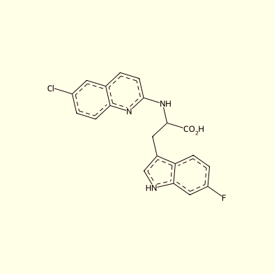 O=C(O)C(Cc1c[nH]c2cc(F)ccc12)Nc1ccc2cc(Cl)ccc2n1